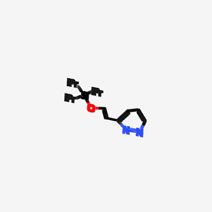 CC(C)[Si](OC=Cc1cccnn1)(C(C)C)C(C)C